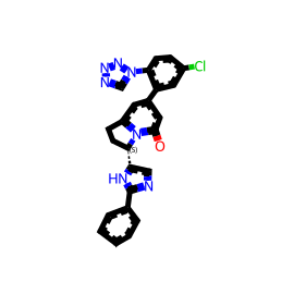 O=c1cc(-c2cc(Cl)ccc2-n2cnnn2)cc2n1[C@H](c1cnc(-c3cc[c]cc3)[nH]1)CC2